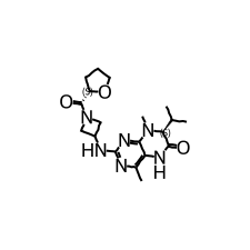 Cc1nc(NC2CN(C(=O)[C@@H]3CCCO3)C2)nc2c1NC(=O)[C@H](C(C)C)N2C